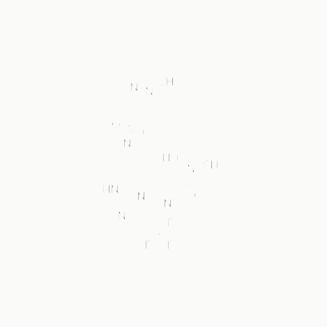 CN(C)C(=O)CN(c1nc(NC2CCN(S(=O)(=O)c3cnn(C)c3)CC2)ncc1C(F)(F)F)C1CCCC1